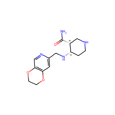 NC(=O)[C@@H]1CNCC[C@@H]1NCc1cc2c(cn1)OCCO2